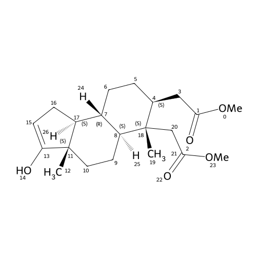 COC(=O)C[C@@H]1CC[C@@H]2[C@H](CC[C@]3(C)C(O)=CC[C@@H]23)[C@@]1(C)CC(=O)OC